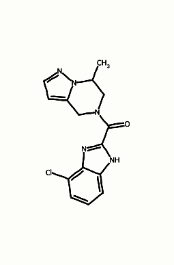 CC1CN(C(=O)c2nc3c(Cl)cccc3[nH]2)Cc2ccnn21